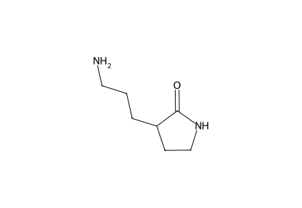 NCCCC1CCNC1=O